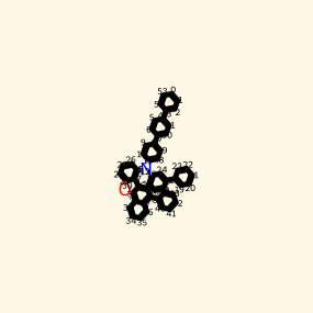 c1ccc(-c2ccc(-c3ccc(N(c4cccc(-c5ccccc5)c4)c4cccc5oc6c7ccccc7c(-c7ccccc7)cc6c45)cc3)cc2)cc1